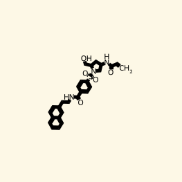 C=CC(=O)NC1CC(CO)N(S(=O)(=O)c2ccc(C(=O)NCCc3ccc4ccccc4c3)cc2)C1